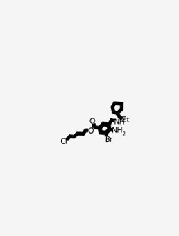 CCC(NCc1cc(C(=O)OCCCCCCl)cc(Br)c1N)C1CCCCC1